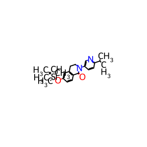 CC(C)c1ccc(N2CCc3cc(O[Si](C)(C)C(C)(C)C)ccc3C2=O)cn1